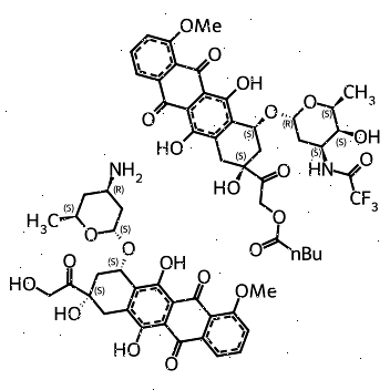 CCCCC(=O)OCC(=O)[C@]1(O)Cc2c(O)c3c(c(O)c2[C@@H](O[C@H]2C[C@H](NC(=O)C(F)(F)F)[C@H](O)[C@H](C)O2)C1)C(=O)c1c(OC)cccc1C3=O.COc1cccc2c1C(=O)c1c(O)c3c(c(O)c1C2=O)C[C@@](O)(C(=O)CO)C[C@@H]3O[C@H]1C[C@H](N)C[C@H](C)O1